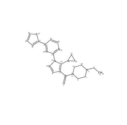 CCN1CCN(C(=O)c2cnn(-c3nccc(-c4cccs4)n3)c2C2CC2)CC1